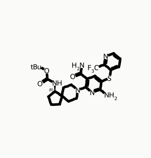 CC(C)(C)OC(=O)N[C@@H]1CCCC12CCN(c1nc(N)c(Sc3cccnc3C(F)(F)F)cc1C(N)=O)CC2